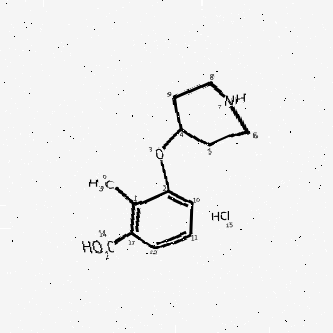 Cc1c(OC2CCNCC2)cccc1C(=O)O.Cl